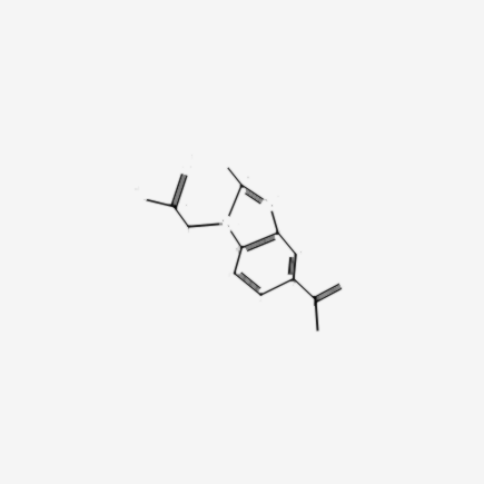 CC(=O)c1ccc2c(c1)nc(S)n2CC(=O)O